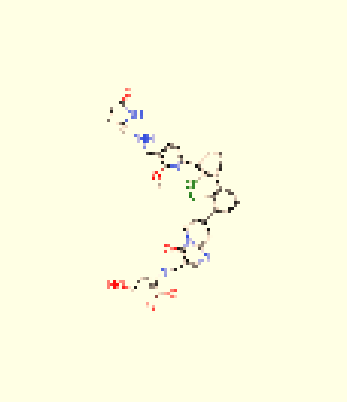 COC(=O)[C@H](CCO)NCc1cnc2cc(-c3cccc(-c4cccc(-c5ccc(CNC[C@@H]6CCC(=O)N6)c(OC)n5)c4Cl)c3Cl)ccn2c1=O